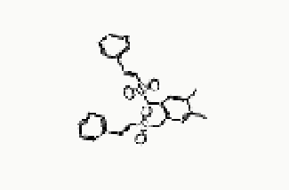 Cc1cc(CS(=O)(=O)/C=C/c2ccccc2)c(CS(=O)(=O)/C=C/c2ccccc2)cc1C